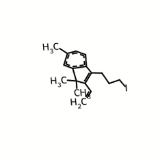 C=CC1=C(CCCI)c2ccc(C)cc2C1(C)C